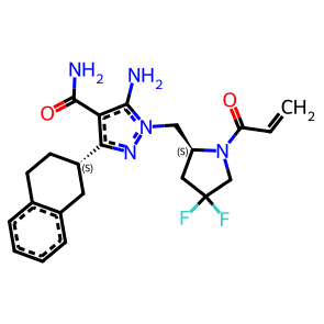 C=CC(=O)N1CC(F)(F)C[C@H]1Cn1nc([C@H]2CCc3ccccc3C2)c(C(N)=O)c1N